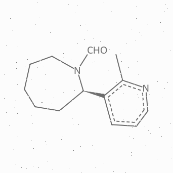 Cc1ncccc1[C@H]1CCCCCN1C=O